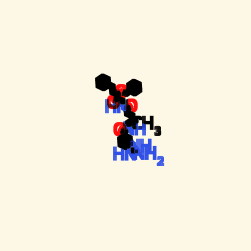 CC(CCC(=O)NCC(=O)C(CCc1ccccc1)OCc1ccccc1)CNC(=O)c1cccc(NC(=N)N)c1